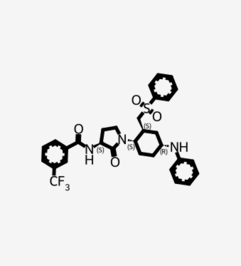 O=C(N[C@H]1CCN([C@H]2CC[C@@H](Nc3ccccc3)C[C@@H]2CS(=O)(=O)c2ccccc2)C1=O)c1cccc(C(F)(F)F)c1